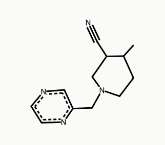 CC1CCN(Cc2cnccn2)CC1C#N